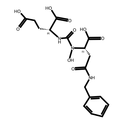 O=C(O)CC[C@@H](NC(=O)N(O)[C@@H](CC(=O)NCc1ccccc1)C(=O)O)C(=O)O